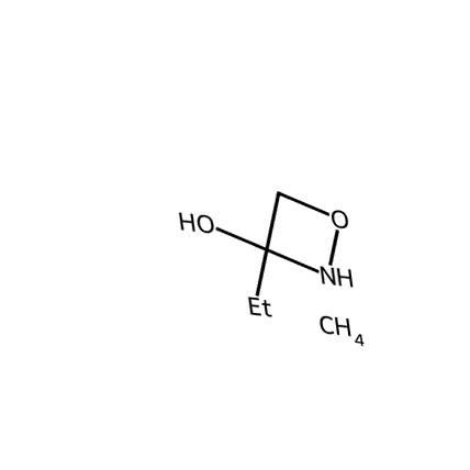 C.CCC1(O)CON1